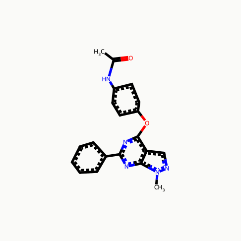 CC(=O)Nc1ccc(Oc2nc(-c3ccccc3)nc3c2cnn3C)cc1